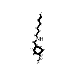 C/C=C/CCCCNCc1ccc(OC)cc1